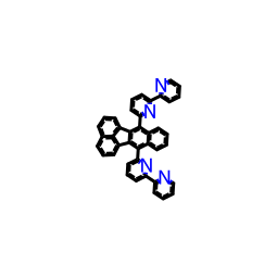 c1ccc(-c2cccc(-c3c4c(c(-c5cccc(-c6ccccn6)n5)c5ccccc35)-c3cccc5cccc-4c35)n2)nc1